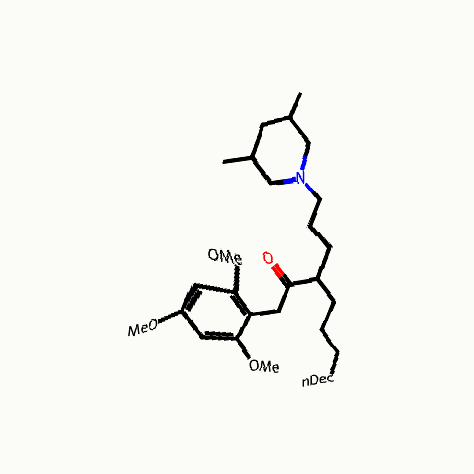 CCCCCCCCCCCCCC(CCCN1CC(C)CC(C)C1)C(=O)Cc1c(OC)cc(OC)cc1OC